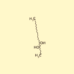 CCCCCCCCCCCCCCCCCCCC(O)CCC(O)CCCCCC